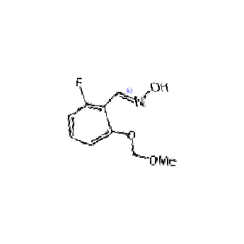 COCOc1cccc(F)c1/C=N/O